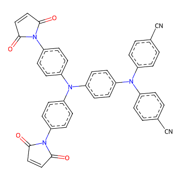 N#Cc1ccc(N(c2ccc(C#N)cc2)c2ccc(N(c3ccc(N4C(=O)C=CC4=O)cc3)c3ccc(N4C(=O)C=CC4=O)cc3)cc2)cc1